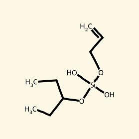 C=CCO[Si](O)(O)OC(CC)CC